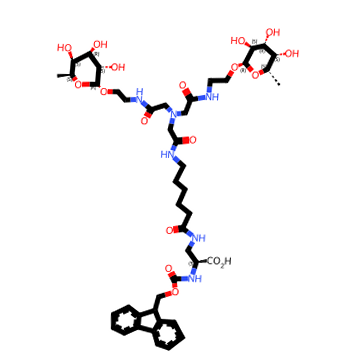 C[C@@H]1O[C@@H](OCCNC(=O)CN(CC(=O)NCCCCCC(=O)NC[C@H](NC(=O)OCC2c3ccccc3-c3ccccc32)C(=O)O)CC(=O)NCCO[C@@H]2O[C@@H](C)[C@@H](O)[C@@H](O)[C@@H]2O)[C@@H](O)[C@H](O)[C@@H]1O